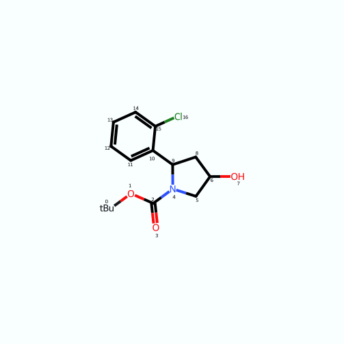 CC(C)(C)OC(=O)N1CC(O)CC1c1ccccc1Cl